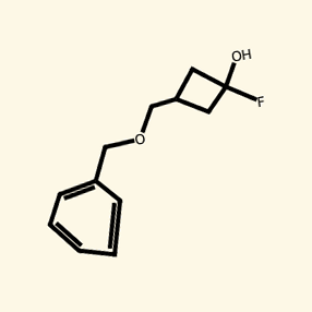 OC1(F)CC(COCc2ccccc2)C1